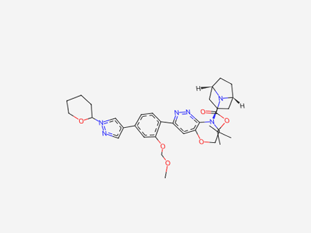 COCOc1cc(-c2cnn(C3CCCCO3)c2)ccc1-c1cc2c(nn1)N([C@@H]1C[C@H]3CC[C@@H](C1)N3C(=O)OC(C)(C)C)CCO2